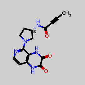 CC#CC(=O)N[C@H]1CCN(c2nccc3[nH]c(=O)c(=O)[nH]c23)C1